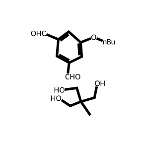 CC(CO)(CO)CO.CCCCOc1cc(C=O)cc(C=O)c1